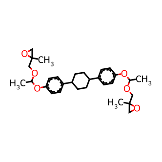 CC(OCC1(C)CO1)Oc1ccc(C2CCC(c3ccc(OC(C)OCC4(C)CO4)cc3)CC2)cc1